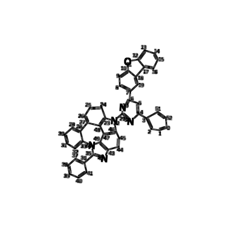 c1ccc(-c2cc(-c3ccc4oc5ccccc5c4c3)nc(-n3c4cccc5c6ccccc6n6c(-c7ccccc7)nc7ccc3c(c54)c76)n2)cc1